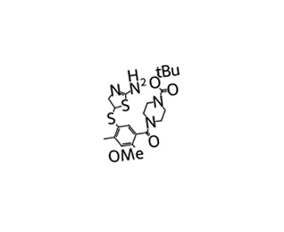 COc1cc(C)c(SC2CN=C(N)S2)cc1C(=O)N1CCN(C(=O)OC(C)(C)C)CC1